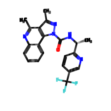 Cc1nc2ccccc2c2c1c(C)nn2C(=O)N[C@H](C)c1ccc(C(F)(F)F)cn1